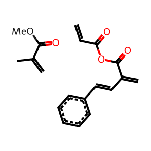 C=C(C)C(=O)OC.C=CC(=O)OC(=O)C(=C)C=Cc1ccccc1